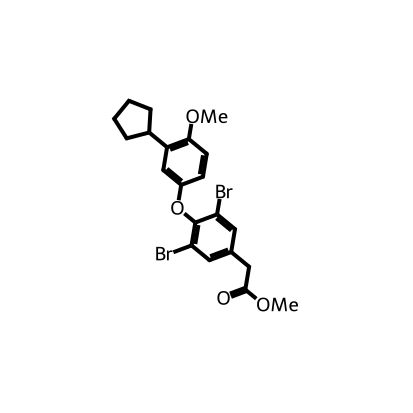 COC(=O)Cc1cc(Br)c(Oc2ccc(OC)c(C3CCCC3)c2)c(Br)c1